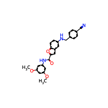 COc1cc(NC(=O)c2cc3cc(NCc4ccc(C#N)cc4)ccc3o2)cc(OC)c1